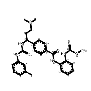 Cc1cccc(NC(=O)NC(CCN(C)C)c2ccc(C(=O)Nc3ccccc3NC(=O)OC(C)(C)C)nc2)c1